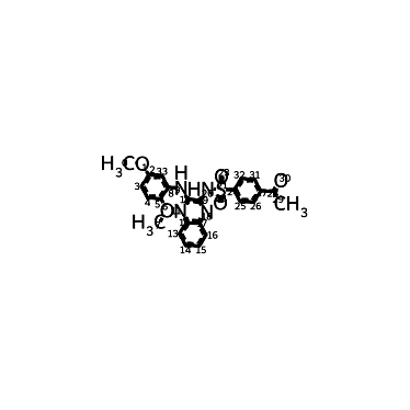 COc1ccc(OC)c(Nc2nc3ccccc3nc2NS(=O)(=O)c2ccc(C(C)=O)cc2)c1